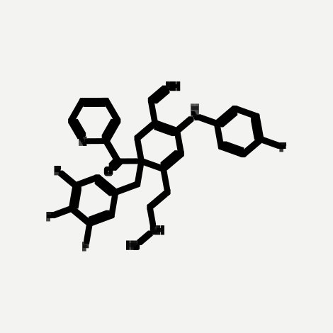 N=CC1=C(Nc2ccc(F)cc2)C=C(CCNS)C(Cc2cc(F)c(F)c(F)c2)(C(=O)c2ccccn2)C1